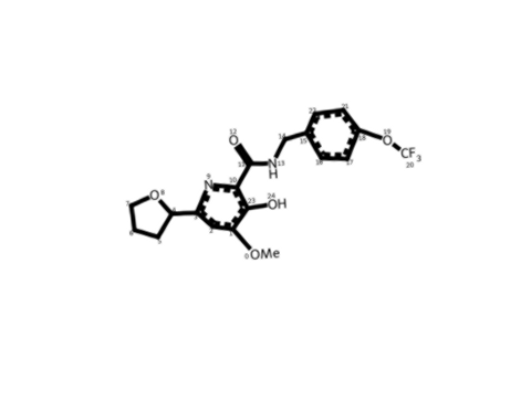 COc1cc(C2CCCO2)nc(C(=O)NCc2ccc(OC(F)(F)F)cc2)c1O